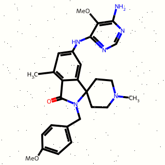 COc1ccc(CN2C(=O)c3c(C)cc(Nc4ncnc(N)c4OC)cc3C23CCN(C)CC3)cc1